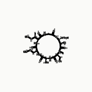 CCCCCCC[C@H]1OC(=O)CNC(=O)[C@H]([C@H](C)OC(C)(C)C)NC(=O)[C@H](COC(C)(C)C)NC(=O)[C@H]([C@H](C)CC)NC(=O)[C@H](CC(C)C)N(C)C(=O)[C@@H]1CC